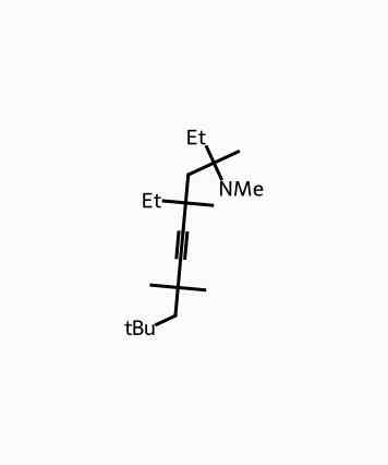 CCC(C)(C#CC(C)(C)CC(C)(C)C)CC(C)(CC)NC